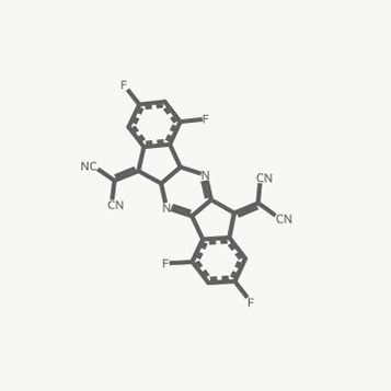 N#CC(C#N)=C1C2=NC3c4c(F)cc(F)cc4C(=C(C#N)C#N)C3N=C2c2c(F)cc(F)cc21